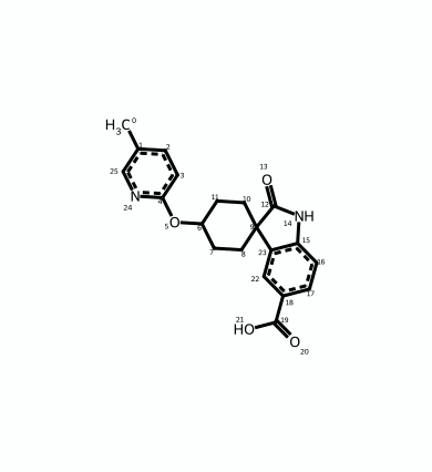 Cc1ccc(OC2CCC3(CC2)C(=O)Nc2ccc(C(=O)O)cc23)nc1